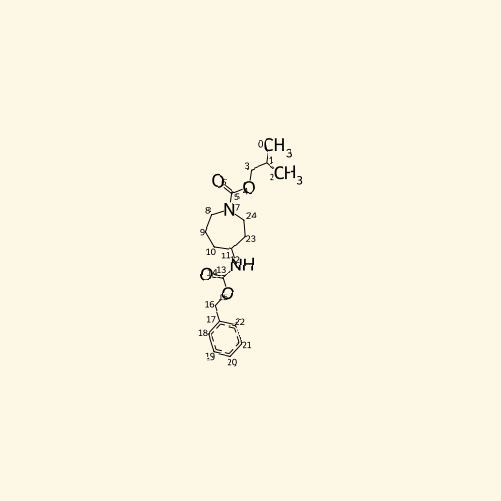 CC(C)COC(=O)N1CCCC(NC(=O)OCc2ccccc2)CC1